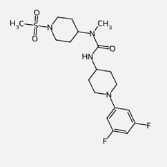 CN(C(=O)NC1CCN(c2cc(F)cc(F)c2)CC1)C1CCN(S(C)(=O)=O)CC1